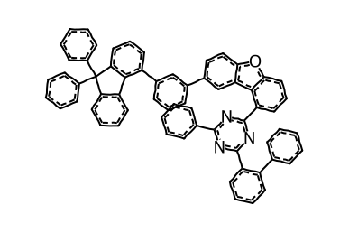 c1ccc(-c2nc(-c3ccccc3-c3ccccc3)nc(-c3cccc4oc5ccc(-c6cccc(-c7cccc8c7-c7ccccc7C8(c7ccccc7)c7ccccc7)c6)cc5c34)n2)cc1